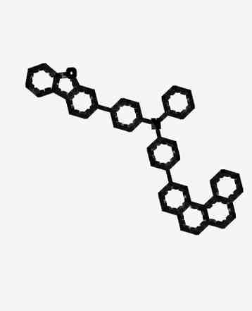 c1ccc(N(c2ccc(-c3ccc4c(c3)oc3ccccc34)cc2)c2ccc(-c3ccc4ccc5ccc6ccccc6c5c4c3)cc2)cc1